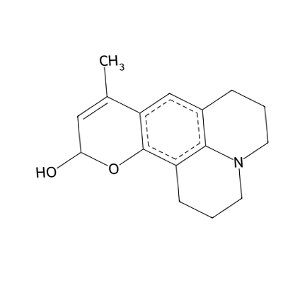 CC1=CC(O)Oc2c1cc1c3c2CCCN3CCC1